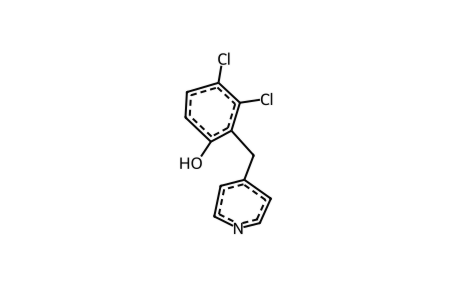 Oc1ccc(Cl)c(Cl)c1Cc1ccncc1